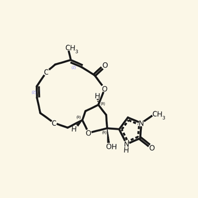 C/C1=C/C(=O)O[C@@H]2C[C@@H](CCC/C=C\CC1)O[C@@](O)(c1cn(C)c(=O)[nH]1)C2